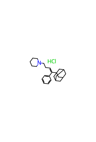 C(CCN1CCCCC1)=C(c1ccccc1)C12CC3CC(CC(C3)C1)C2.Cl